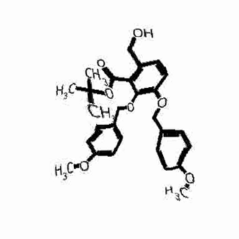 COc1ccc(COc2ccc(CO)c(C(=O)OC(C)(C)C)c2OCc2ccc(OC)cc2)cc1